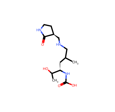 CC(CNC[C@@H]1CCNC1=O)C[C@H](NC(=O)O)C(C)O